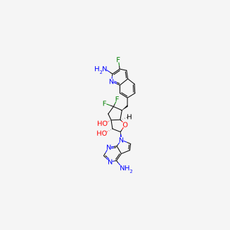 Nc1nc2cc(C[C@H]3[C@H]4O[C@@H](n5ccc6c(N)ncnc65)[C@H](O)[C@@]4(O)CC3(F)F)ccc2cc1F